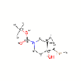 CSCC1(O)CCN(C(=O)OC(C)(C)C)CC12CC2